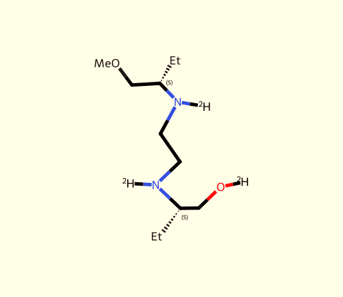 [2H]OC[C@H](CC)N([2H])CCN([2H])[C@@H](CC)COC